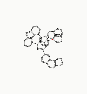 c1ccc(-c2cccc(-c3cccc4oc5cccc(C6N=C(c7ccc8ccc9ccccc9c8c7)N=C(c7ccc8ccccc8c7)N6)c5c34)c2)cc1